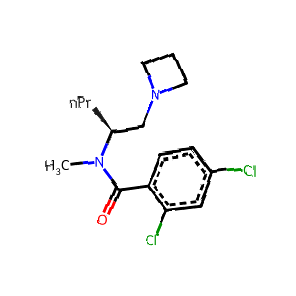 CCC[C@@H](CN1CCC1)N(C)C(=O)c1ccc(Cl)cc1Cl